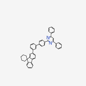 c1ccc(-c2cc(-c3ccccc3)nc(-c3ccc(-c4cccc(-c5ccc6c(c5)C5(CCCCC5)c5ccccc5-6)c4)cc3)n2)cc1